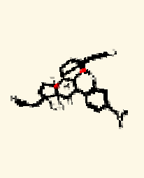 CN(C)c1ccc2c(c1)S[C@]13CCC(=O)C=C1CC[C@@H]1[C@@H]3[C@@H]2C[C@@]2(C)[C@H]1CC[C@@]2(O)CC#N